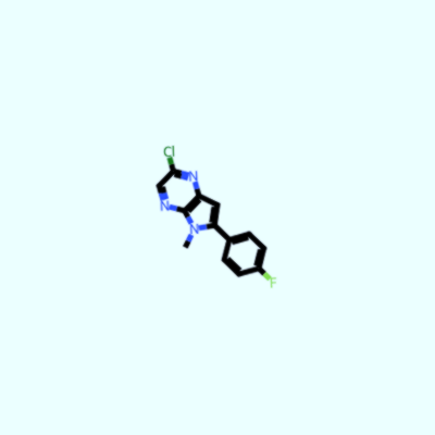 Cn1c(-c2ccc(F)cc2)cc2nc(Cl)cnc21